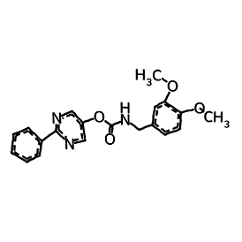 COc1ccc(CNC(=O)Oc2cnc(-c3ccccc3)nc2)cc1OC